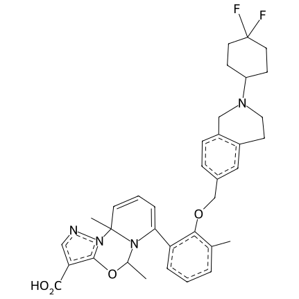 Cc1cccc(C2=CC=CC3(C)N2C(C)Oc2c(C(=O)O)cnn23)c1OCc1ccc2c(c1)CCN(C1CCC(F)(F)CC1)C2